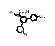 CCN1CCCC(c2cc(-c3ccc(C(F)(F)F)cc3)cc([C@@H](CC(C)C)C(=O)O)c2)C1